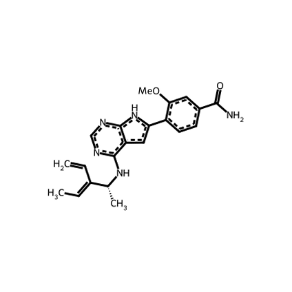 C=C/C(=C\C)[C@@H](C)Nc1ncnc2[nH]c(-c3ccc(C(N)=O)cc3OC)cc12